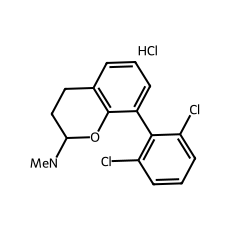 CNC1CCc2cccc(-c3c(Cl)cccc3Cl)c2O1.Cl